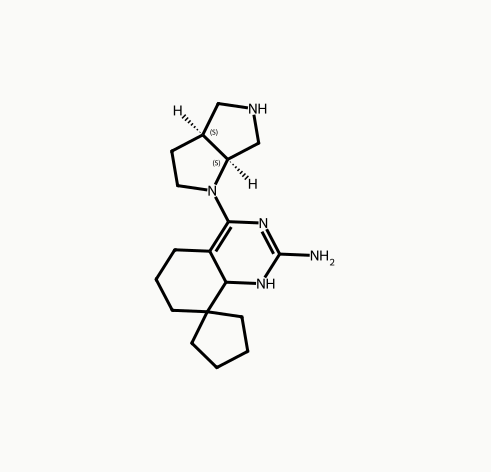 NC1=NC(N2CC[C@H]3CNC[C@H]32)=C2CCCC3(CCCC3)C2N1